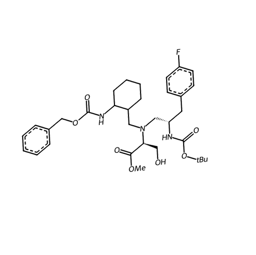 COC(=O)[C@H](CO)N(CC1CCCCC1NC(=O)OCc1ccccc1)C[C@H](Cc1ccc(F)cc1)NC(=O)OC(C)(C)C